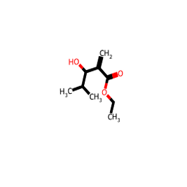 C=C(C(=O)OCC)C(O)C(C)C